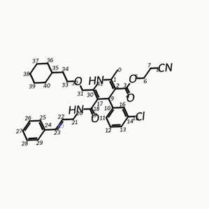 CC1=C(C(=O)OCCC#N)C(c2cccc(Cl)c2)C(C(=O)NC/C=C/c2ccccc2)=C(COCCC2CCCCC2)N1